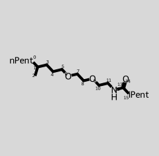 CCCCCC(C)CCCOCCOCCNC(=O)C(C)CCC